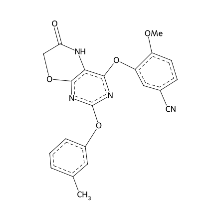 COc1ccc(C#N)cc1Oc1nc(Oc2cccc(C)c2)nc2c1NC(=O)CO2